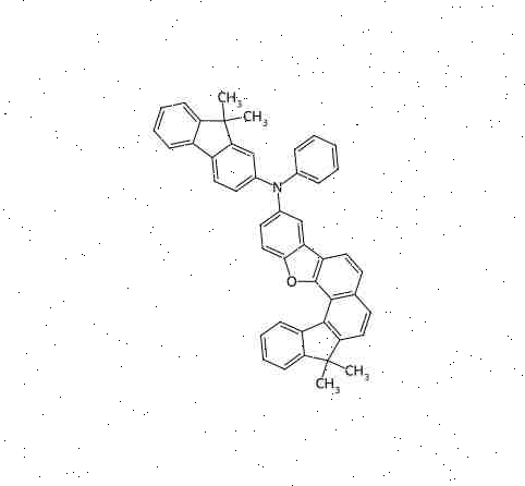 CC1(C)c2ccccc2-c2ccc(N(c3ccccc3)c3ccc4oc5c(ccc6ccc7c(c65)-c5ccccc5C7(C)C)c4c3)cc21